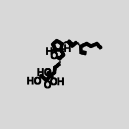 C=C[C@H](CC=C[C@H]1CC[C@H]2O[C@@H](CCCC(O)(O)C(=O)CO)C[C@H]12)CCCC